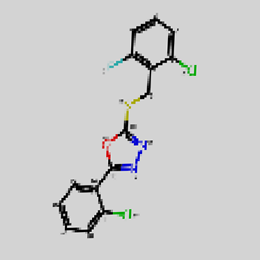 Fc1cccc(Cl)c1CSc1nnc(-c2ccccc2Cl)o1